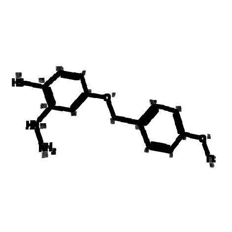 CCOc1ccc(COc2ccc(S)c(NN)c2)cc1